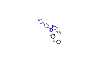 C[N+]1(C)CCN([C@H]2CC[C@H](n3nc(-c4ccc(Oc5ccccc5)cc4F)c4c(N)ncnc43)CC2)CC1